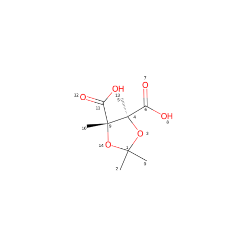 CC1(C)O[C@](C)(C(=O)O)[C@@](C)(C(=O)O)O1